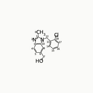 Cc1nc2ccc(CO)cc2n1Cc1ccccc1Cl